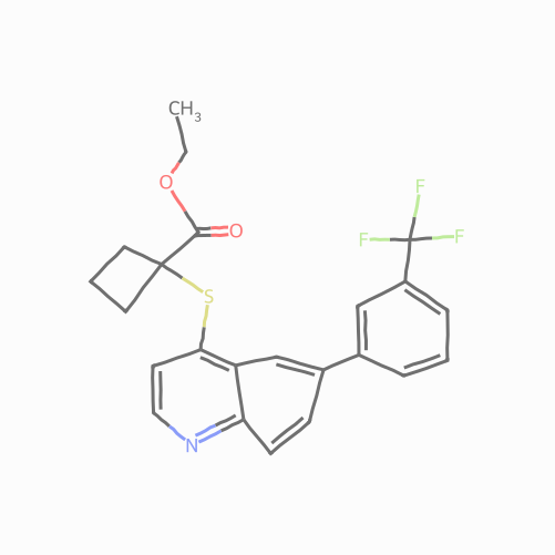 CCOC(=O)C1(Sc2ccnc3ccc(-c4cccc(C(F)(F)F)c4)cc23)CCC1